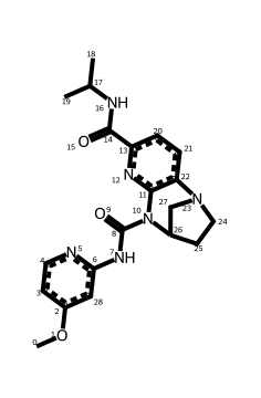 COc1ccnc(NC(=O)N2c3nc(C(=O)NC(C)C)ccc3N3CCC2C3)c1